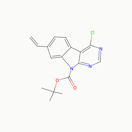 C=Cc1ccc2c3c(Cl)ncnc3n(C(=O)OC(C)(C)C)c2c1